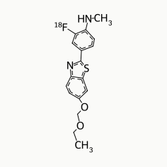 CCOCOc1ccc2nc(-c3ccc(NC)c([18F])c3)sc2c1